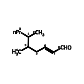 CCCC(C)C(C)C/C=C/C=O